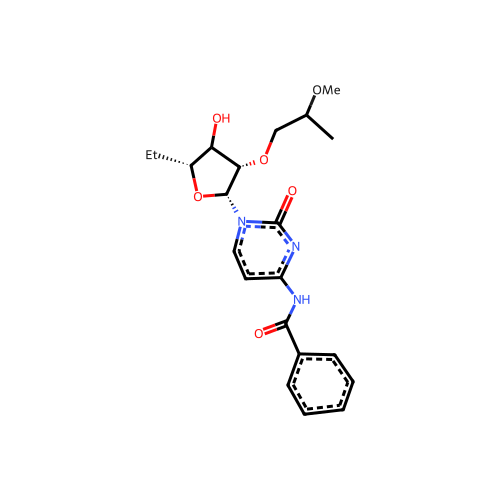 CC[C@H]1O[C@@H](n2ccc(NC(=O)c3ccccc3)nc2=O)[C@@H](OCC(C)OC)C1O